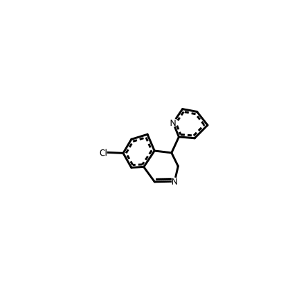 Clc1ccc2c(c1)C=NCC2c1ccccn1